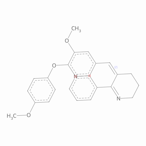 COc1ccc(Oc2ccc(/C=C3/CCCN=C3c3cccnc3)cc2OC)cc1